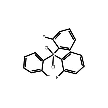 Fc1ccccc1P(Cl)(Cl)(c1ccccc1F)c1ccccc1F